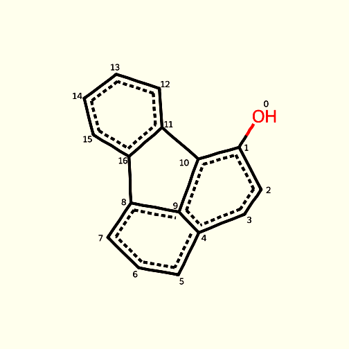 Oc1ccc2cccc3c2c1-c1ccccc1-3